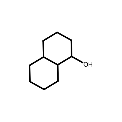 O[C]1CCCC2CCCCC12